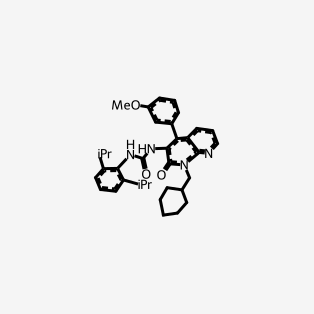 COc1cccc(-c2c(NC(=O)Nc3c(C(C)C)cccc3C(C)C)c(=O)n(CC3CCCCC3)c3ncccc23)c1